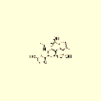 CCn1cc(C(=O)O)c(=O)c2cc(F)c(-c3c(C(=O)O)c(C)nc(C)c3C(=O)O)cc21